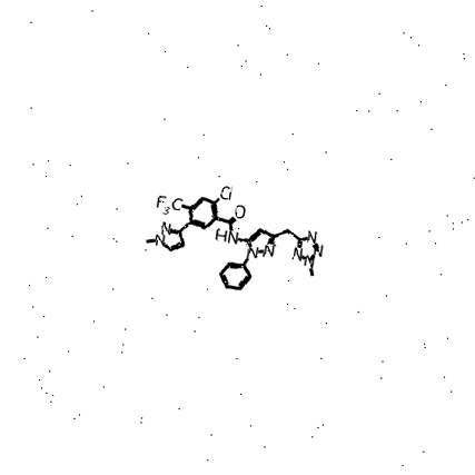 Cn1ccc(-c2cc(C(=O)Nc3cc(Cc4nnn(C)n4)nn3-c3ccccc3)c(Cl)cc2C(F)(F)F)n1